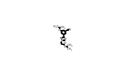 CC(C)OC(=O)/C=C\n1cnc(-c2cc(C#N)cc(OC(C)C)c2)n1